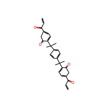 C=CC(=O)C1=CC=C(C(C)(C)c2ccc(C(C)(C)C3=CC=C(C(=O)C=C)CC3=O)cc2)C(=O)C1